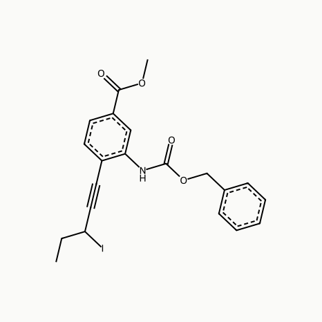 CCC(I)C#Cc1ccc(C(=O)OC)cc1NC(=O)OCc1ccccc1